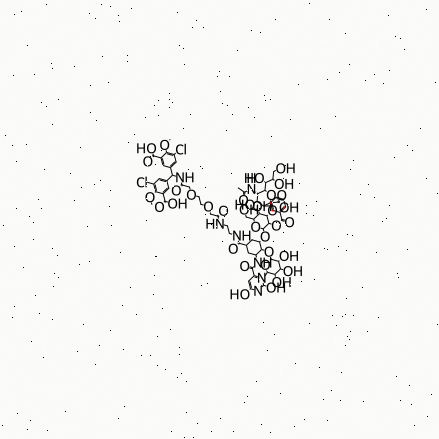 COc1c(Cl)cc(C(NC(=O)COCCOCC(=O)NCCNC(=O)C2CC(NC(=O)c3cc(O)nc(O)n3)C(OC3OC(C)C(O)C(O)C3O)C(OC3OC(CO)C(O)C(OC4(C(=O)O)CC(O)C(NC(C)=O)C([C@H](O)[C@H](O)CO)O4)C3OC(=O)c3ccccc3)C2)c2cc(Cl)c(OC)c(C(=O)O)c2)cc1C(=O)O